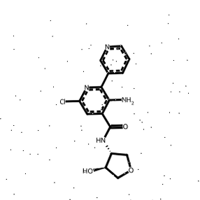 Nc1c(C(=O)N[C@@H]2COC[C@H]2O)cc(Cl)nc1-c1cccnc1